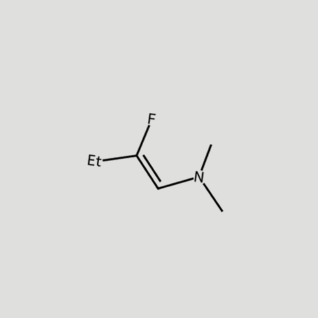 CCC(F)=CN(C)C